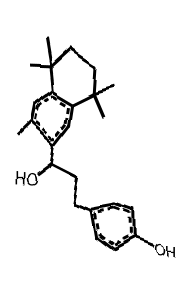 Cc1cc2c(cc1C(O)CCc1ccc(O)cc1)C(C)(C)CCC2(C)C